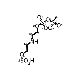 CS(=O)(=O)OS(=O)(=O)OCCNCCOS(=O)(=O)O